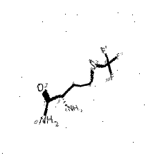 NC(=O)[C@@H](N)CCSC(F)(F)F